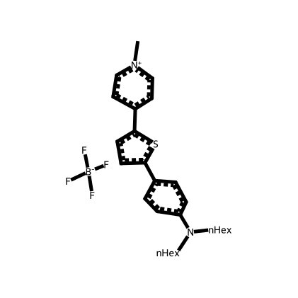 CCCCCCN(CCCCCC)c1ccc(-c2ccc(-c3cc[n+](C)cc3)s2)cc1.F[B-](F)(F)F